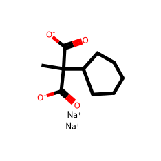 CC(C(=O)[O-])(C(=O)[O-])C1CCCCC1.[Na+].[Na+]